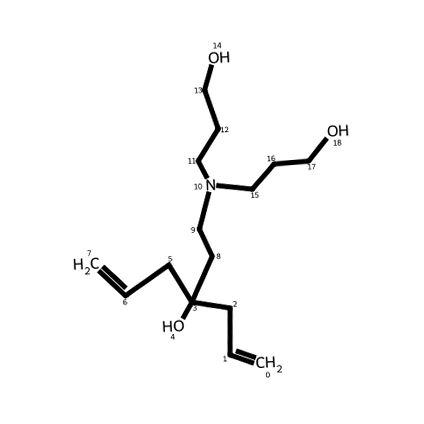 C=CCC(O)(CC=C)CCN(CCCO)CCCO